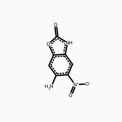 Nc1cc2oc(=O)[nH]c2cc1[N+](=O)[O-]